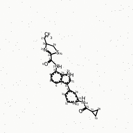 O=C(Nc1cccc2c(-c3ccnc(NC(=O)C4CC4)c3)c[nH]c12)C1=NC(CC(F)(F)F)CS1